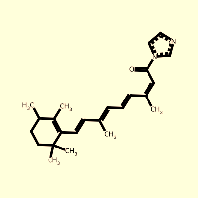 CC1=C(/C=C/C(C)=C/C=C/C(C)=C\C(=O)n2ccnc2)C(C)(C)CCC1C